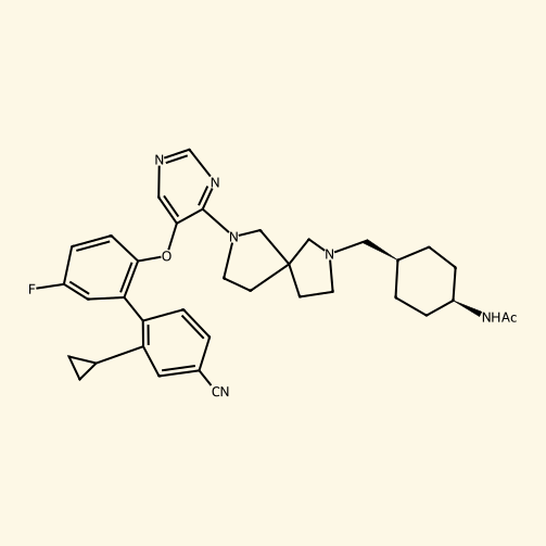 CC(=O)N[C@H]1CC[C@@H](CN2CCC3(CCN(c4ncncc4Oc4ccc(F)cc4-c4ccc(C#N)cc4C4CC4)C3)C2)CC1